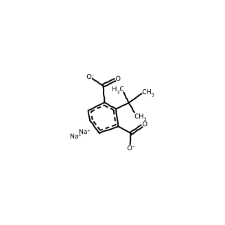 CC(C)(C)c1c(C(=O)[O-])cccc1C(=O)[O-].[Na+].[Na+]